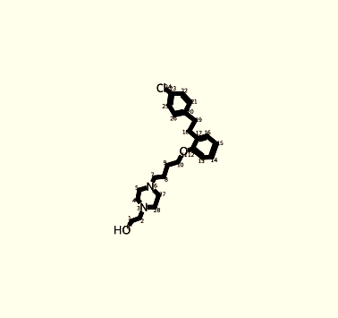 OCCN1CCN(CCCCOc2ccccc2CCc2ccc(Cl)cc2)CC1